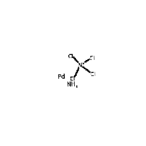 Cl[N+](Cl)(Cl)Cl.N.[Pd]